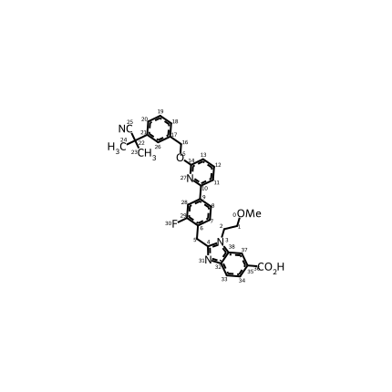 COCCn1c(Cc2ccc(-c3cccc(OCc4cccc(C(C)(C)C#N)c4)n3)cc2F)nc2ccc(C(=O)O)cc21